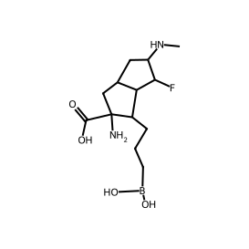 CNC1CC2CC(N)(C(=O)O)C(CCCB(O)O)C2C1F